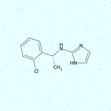 C[C@@H](Nc1ncc[nH]1)c1ccccc1Cl